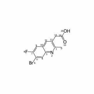 Cc1nc2cc(Br)c(F)cc2cc1CC(=O)O